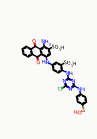 Nc1c(S(=O)(=O)O)cc(Nc2ccc(Nc3nc(Cl)nc(Nc4ccc(SO)cc4)n3)c(S(=O)(=O)O)c2)c2c1C(=O)c1ccccc1C2=O